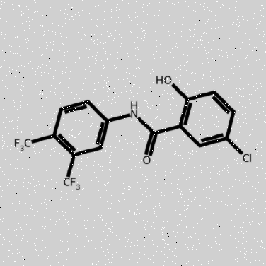 O=C(Nc1ccc(C(F)(F)F)c(C(F)(F)F)c1)c1cc(Cl)ccc1O